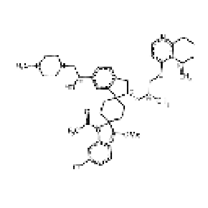 COC(=O)C1(N(C(=O)C(F)(F)F)c2cccc(Cl)c2)CCC2(CC1)c1cc([C@@H](O)CN3CCN(C)CC3)ccc1C[C@@H]2C[C@@H](C)COc1ccnc2c1[C@H](C)CCC2